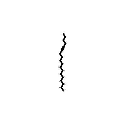 [CH2]CCCC#CCCCCCCCCCCC[CH2]